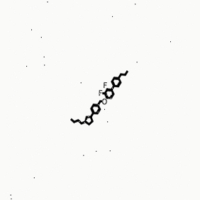 CCCCC1CCC(c2ccc(COc3ccc(-c4ccc(CCC)cc4)c(F)c3F)cc2)C1